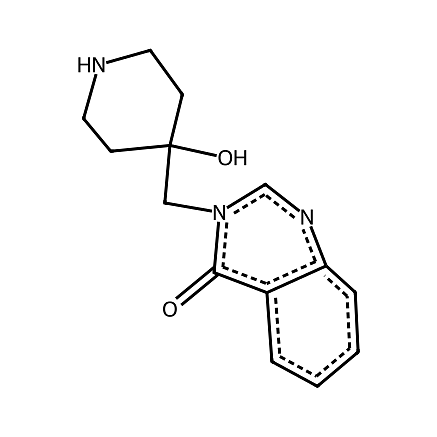 O=c1c2ccccc2ncn1CC1(O)CCNCC1